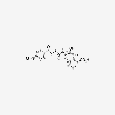 COc1ccc(C(=O)CCC(=O)N[C@@H](Cc2cccc(C(=O)O)c2)B(O)O)cc1